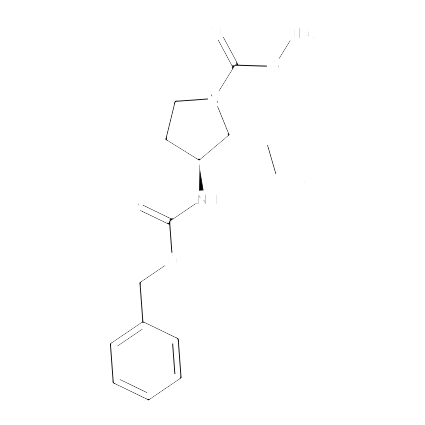 CC(C)(C)OC(=O)N1CC[C@H](NC(=O)OCc2ccccc2)[C@H]1CC=O